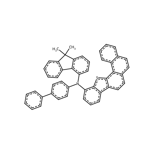 CC1(C)c2ccccc2-c2c(N(c3ccc(-c4ccccc4)cc3)c3cccc4c3sc3c4ccc4ccc5ccccc5c43)cccc21